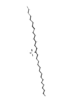 CCCCCCCCCCCCCCCC(CCCCCCCCCCCCCC)[N+](C)(C)[O-]